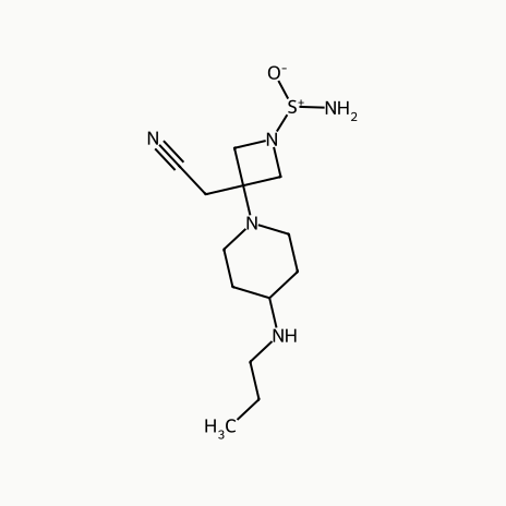 CCCNC1CCN(C2(CC#N)CN([S+](N)[O-])C2)CC1